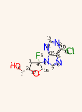 OC[C@@H]1C[C@@](F)(n2cnc3c(Cl)ncnc32)CO1